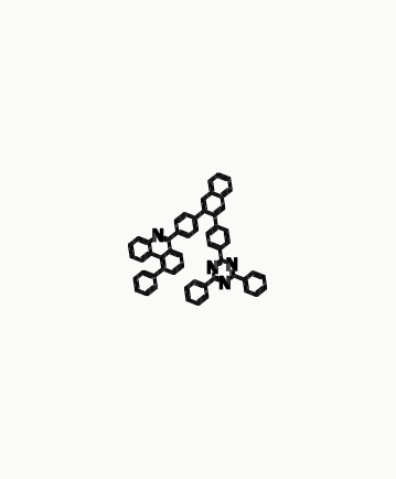 c1ccc(-c2nc(-c3ccccc3)nc(-c3ccc(-c4cc5ccccc5cc4-c4ccc(-c5nc6ccccc6c6c(-c7ccccc7)cccc56)cc4)cc3)n2)cc1